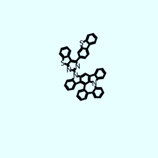 c1ccc2c(c1)-c1ccccc1-n1c3ccccc3c3cc4c(c-2c31)c1ccccc1n4-c1nc(-c2ccc3c(c2)sc2ccccc23)c2c(n1)sc1ccccc12